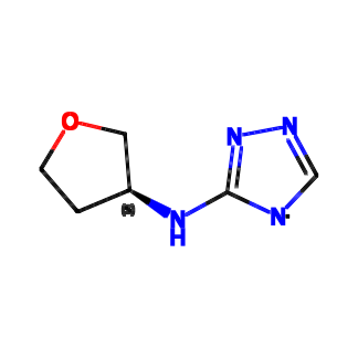 C1=NN=C(N[C@H]2CCOC2)[N]1